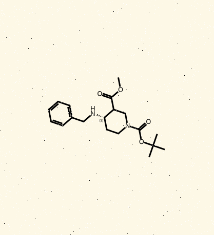 COC(=O)C1CN(C(=O)OC(C)(C)C)CC[C@@H]1NCc1ccccc1